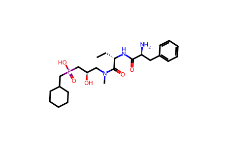 CC[C@H](NC(=O)[C@@H](N)Cc1ccccc1)C(=O)N(C)C[C@@H](O)CP(=O)(O)CC1CCCCC1